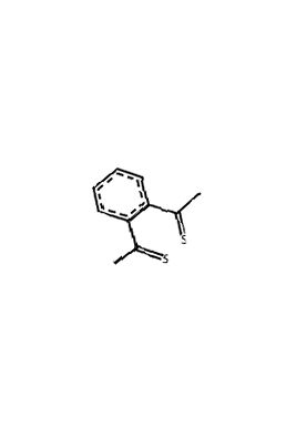 CC(=S)c1ccccc1C(C)=S